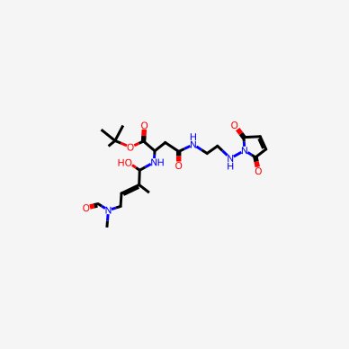 C/C(=C\CN(C)C=O)C(O)NC(CC(=O)NCCNN1C(=O)C=CC1=O)C(=O)OC(C)(C)C